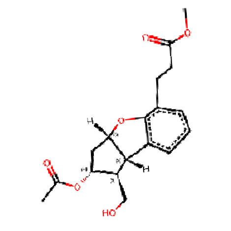 COC(=O)CCc1cccc2c1O[C@H]1C[C@@H](OC(C)=O)[C@H](CO)[C@@H]21